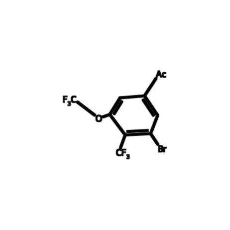 CC(=O)c1cc(Br)c(C(F)(F)F)c(OC(F)(F)F)c1